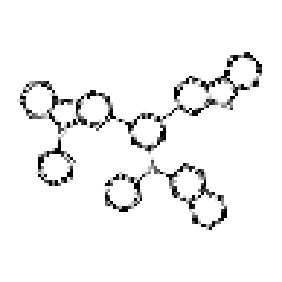 c1ccc(N(c2cc(-c3ccc4c(c3)oc3ccccc34)cc(-c3ccc4c5ccccc5n(-c5ccccc5)c4c3)c2)c2ccc3ccccc3c2)cc1